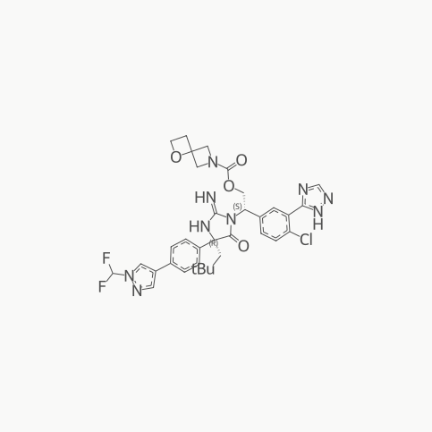 CC(C)(C)C[C@]1(c2ccc(-c3cnn(C(F)F)c3)cc2)NC(=N)N([C@H](COC(=O)N2CC3(CCO3)C2)c2ccc(Cl)c(-c3ncn[nH]3)c2)C1=O